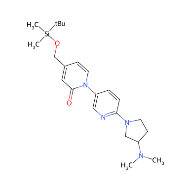 CN(C)C1CCN(c2ccc(-n3ccc(CO[Si](C)(C)C(C)(C)C)cc3=O)cn2)C1